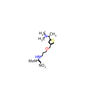 CNC(=C[N+](=O)[O-])NCCCOCc1csc(C(C)N(C)C)c1